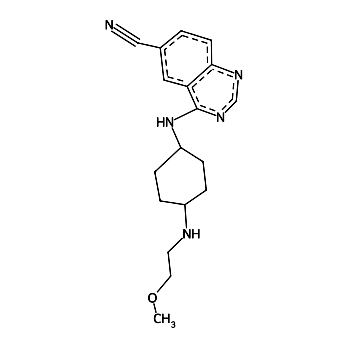 COCCNC1CCC(Nc2ncnc3ccc(C#N)cc23)CC1